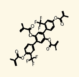 C=C(C)C(=O)Oc1ccc(-c2cc(OC(=O)C(=C)C)c(-c3ccc(OC(=O)C(=C)C)c(C(F)(F)F)c3)cc2OC(=O)C(=C)C)c(C(F)(F)F)c1